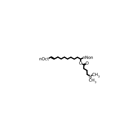 CCCCCCCCC=CCCCCCCCC(CCCCCCCCC)OC(=O)CCCN(C)C